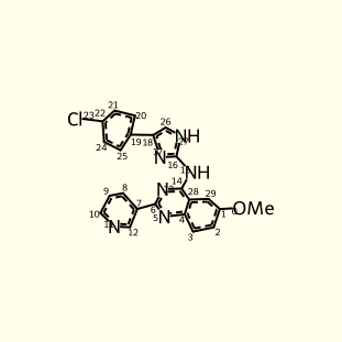 COc1ccc2nc(-c3cccnc3)nc(Nc3nc(-c4ccc(Cl)cc4)c[nH]3)c2c1